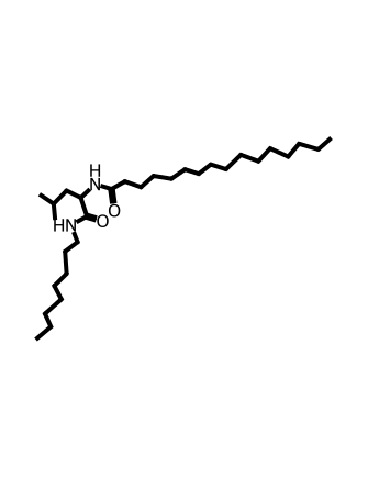 CCCCCCCCCCCCCCCC(=O)NC(CC(C)C)C(=O)NCCCCCCCC